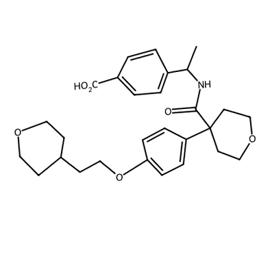 CC(NC(=O)C1(c2ccc(OCCC3CCOCC3)cc2)CCOCC1)c1ccc(C(=O)O)cc1